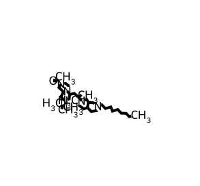 CCCCCCCCCN1CCC2CCN(C(C)(C)CC3CN(C(C)(C)C)CC4CN(C(C)=O)CCN43)CC2C1